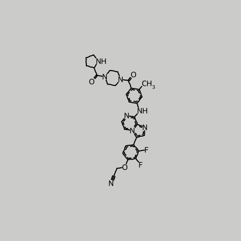 Cc1cc(Nc2nccn3c(-c4ccc(OCC#N)c(F)c4F)cnc23)ccc1C(=O)N1CCN(C(=O)C2CCCN2)CC1